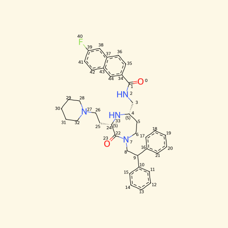 O=C(NC[C@@H]1CCN(CC(c2ccccc2)c2ccccc2)C(=O)[C@H](CCN2CCCCC2)N1)c1ccc2cc(F)ccc2c1